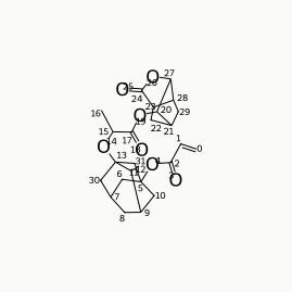 C=CC(=O)OC12CC3CC(C1)C(C)C(OC(C)C(=O)OC1C4CC5C(=O)OC1C5C4)(C3)C2